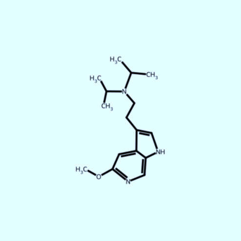 COc1cc2c(CCN(C(C)C)C(C)C)c[nH]c2cn1